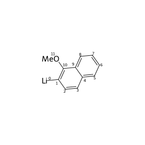 [Li][c]1ccc2ccccc2c1OC